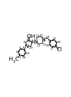 Cc1ccc(N2C[C@@H](O)[C@H](N3CCN(Cc4ccc(Cl)cc4)CC3)C2)cc1